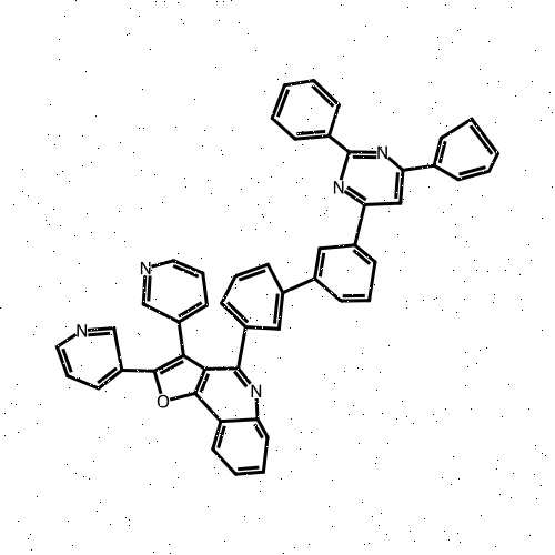 c1ccc(-c2cc(-c3cccc(-c4cccc(-c5nc6ccccc6c6oc(-c7cccnc7)c(-c7cccnc7)c56)c4)c3)nc(-c3ccccc3)n2)cc1